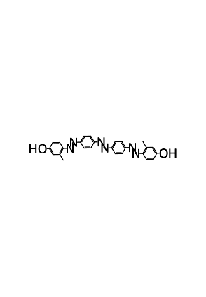 Cc1cc(O)ccc1N=Nc1ccc(N=Nc2ccc(N=Nc3ccc(O)cc3C)cc2)cc1